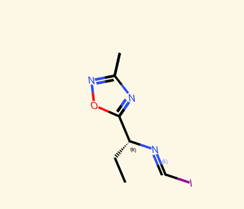 CC[C@@H](/N=C/I)c1nc(C)no1